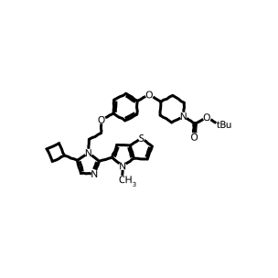 Cn1c(-c2ncc(C3CCC3)n2CCOc2ccc(OC3CCN(C(=O)OC(C)(C)C)CC3)cc2)cc2sccc21